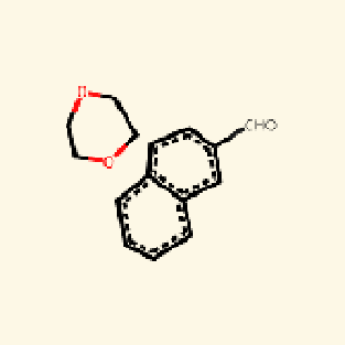 C1COCCO1.O=Cc1ccc2ccccc2c1